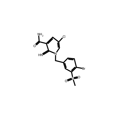 CS(=O)(=O)c1cc(Cn2cc(Cl)cc(C(N)=O)c2=N)ccc1Br